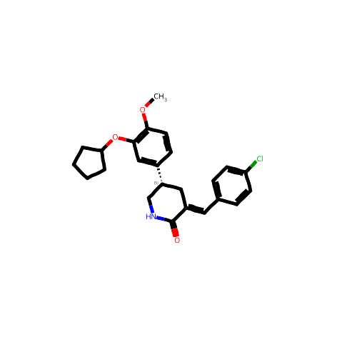 COc1ccc([C@H]2CNC(=O)/C(=C/c3ccc(Cl)cc3)C2)cc1OC1CCCC1